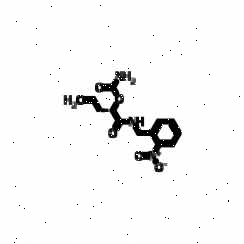 C=CC[C@H](OC(N)=O)C(=O)NCc1ccccc1[N+](=O)[O-]